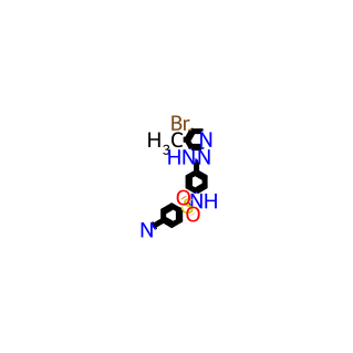 Cc1c(Br)cnc2nc(-c3ccc(NS(=O)(=O)c4ccc(C#N)cc4)cc3)[nH]c12